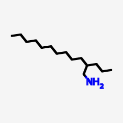 CCCCCCCCCCC(CN)CCC